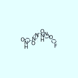 C[C@H](C(=O)Nc1ccc(Oc2ccc(F)cc2)cn1)N1CCN(C(=O)c2ccc(=O)[nH]c2)[C@@H](C)C1